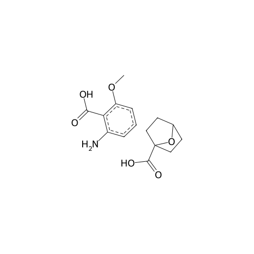 COc1cccc(N)c1C(=O)O.O=C(O)C12CCC(CC1)O2